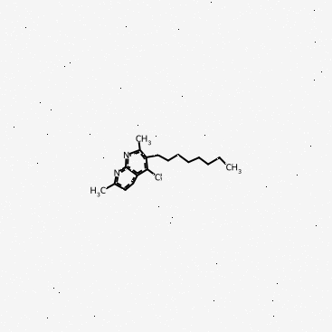 CCCCCCCCc1c(C)nc2nc(C)ccc2c1Cl